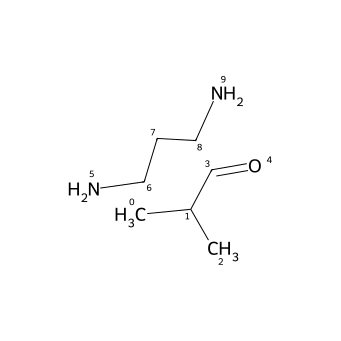 CC(C)C=O.NCCCN